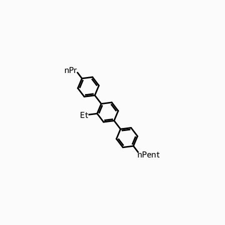 CCCCCc1ccc(-c2ccc(-c3ccc(CCC)cc3)c(CC)c2)cc1